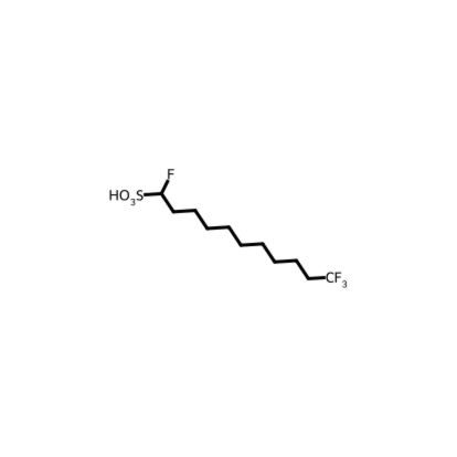 O=S(=O)(O)C(F)CCCCCCCCCC(F)(F)F